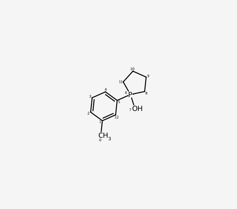 Cc1cccc([P]2(O)CCCC2)c1